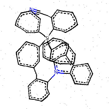 N#Cc1ccccc1[Si](c1ccccc1)(c1ccccc1)c1cccc(-c2ccccc2-n2c3ccccc3c3ccccc32)c1